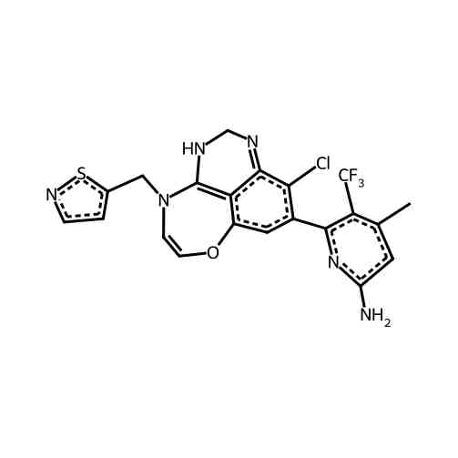 Cc1cc(N)nc(-c2cc3c4c(c2Cl)=NCNC=4N(Cc2ccns2)C=CO3)c1C(F)(F)F